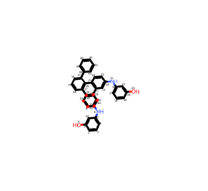 Oc1cccc(Nc2cccc(-c3cc(Nc4cccc(O)c4)ccc3-c3c(-c4ccccc4)cccc3-c3ccccc3)c2)c1